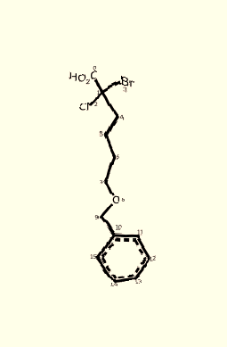 O=C(O)C(Cl)(Br)CCCCOCc1ccccc1